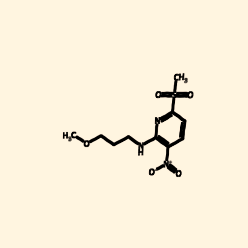 COCCCNc1nc(S(C)(=O)=O)ccc1[N+](=O)[O-]